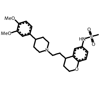 COc1ccc(C2CCN(CCC3CCOc4ccc(NS(C)(=O)=O)cc43)CC2)cc1OC